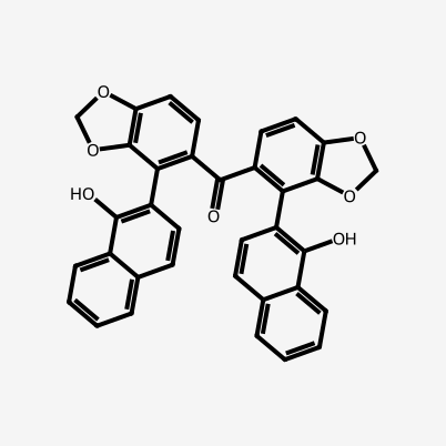 O=C(c1ccc2c(c1-c1ccc3ccccc3c1O)OCO2)c1ccc2c(c1-c1ccc3ccccc3c1O)OCO2